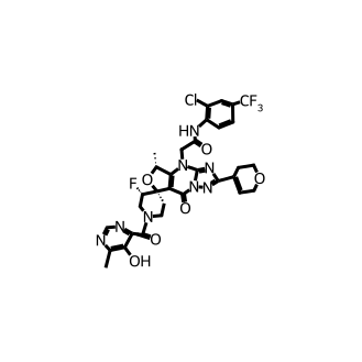 Cc1ncnc(C(=O)N2CC[C@@]3(O[C@H](C)c4c3c(=O)n3nc(C5=CCOCC5)nc3n4CC(=O)Nc3ccc(C(F)(F)F)cc3Cl)[C@@H](F)C2)c1O